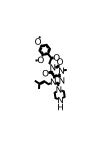 COc1ccc(C(=O)Cn2c(=O)c3c(nc(N4CCNCC4)n3CC=C(C)C)n(C)c2=O)c(OC)c1